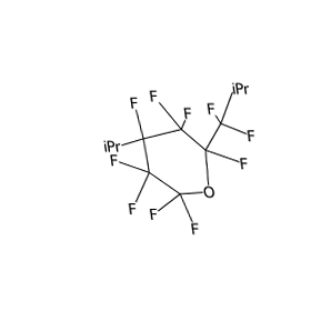 CC(C)C(F)(F)C1(F)OC(F)(F)C(F)(F)C(F)(C(C)C)C1(F)F